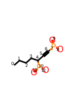 CCCCC(C#CP(=O)=O)P(=O)=O